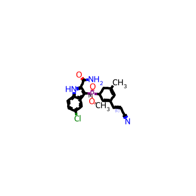 CO[P@@](=O)(c1c(C(N)=O)[nH]c2ccc(Cl)cc12)C1C=C(/C=C/C#N)C=C(C)C1